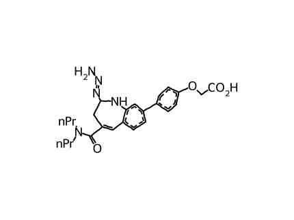 CCCN(CCC)C(=O)C1=Cc2ccc(-c3ccc(OCC(=O)O)cc3)cc2NC(N=NN)C1